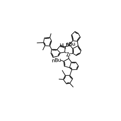 CCCCC1=Cc2c(-c3cc(C)cc(C)c3C)cccc2[CH]1[Zr]([c]1cccc2c1[SiH2]c1ccccc1-2)[CH]1C(CCCC)=Cc2c(-c3cc(C)cc(C)c3C)cccc21